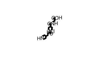 Cl.O=C(O)CCNC(=O)C1CCN(C(=O)CCC2CCNCC2)CC1